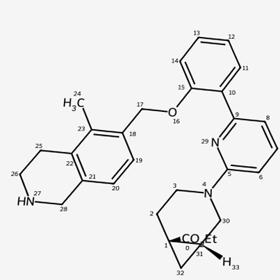 CCOC(=O)[C@@]12CCN(c3cccc(-c4ccccc4OCc4ccc5c(c4C)CCNC5)n3)C[C@@H]1C2